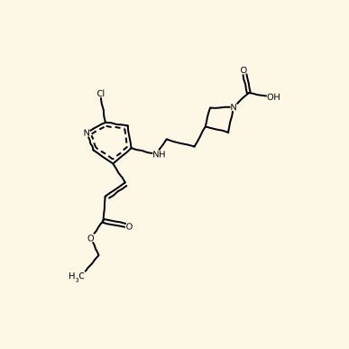 CCOC(=O)C=Cc1cnc(Cl)cc1NCCC1CN(C(=O)O)C1